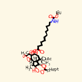 CCCCCCCC(=O)O[C@H]1[C@H]2C(=C(C)[C@@H]1O)[C@@H]1OC(=O)[C@@](C)(O)[C@@]1(O)[C@@H](OC(=O)CCCCCCCCCCCNC(=O)OC(C)(C)C)C[C@]2(C)OC(C)=O